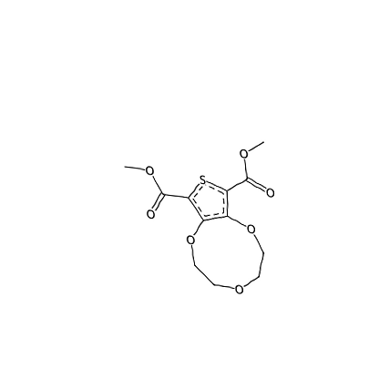 COC(=O)c1sc(C(=O)OC)c2c1OCCOCCO2